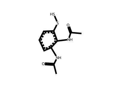 CC(=O)Nc1cccc(SS)c1NC(C)=O